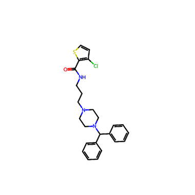 O=C(NCCCN1CCN(C(c2ccccc2)c2ccccc2)CC1)c1sccc1Cl